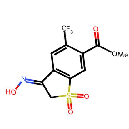 COC(=O)c1cc2c(cc1C(F)(F)F)C(=NO)CS2(=O)=O